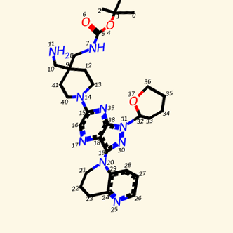 CC(C)(C)OC(=O)NCC1(CN)CCN(c2cnc3c(N4CCCc5ncccc54)nn(C4CCCCO4)c3n2)CC1